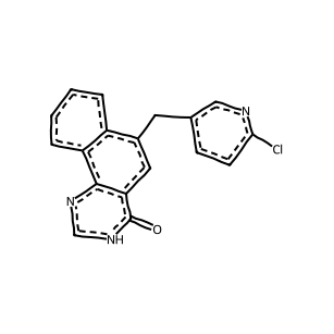 O=c1[nH]cnc2c1cc(Cc1ccc(Cl)nc1)c1ccccc12